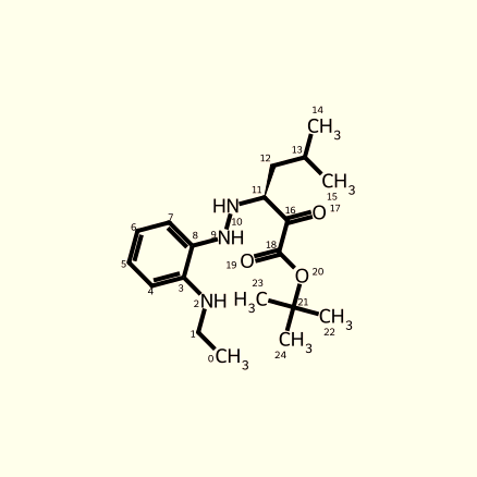 CCNc1ccccc1NN[C@@H](CC(C)C)C(=O)C(=O)OC(C)(C)C